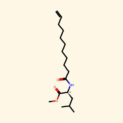 C=CCCCCCCCCC(=O)N[C@@H](CC(C)C)C(=O)OC